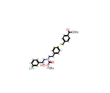 COC(=O)c1ccc(CSc2ccc(CCN(C[C@H](O)c3cccc(Cl)c3)C(=O)OC(C)(C)C)cc2)cc1